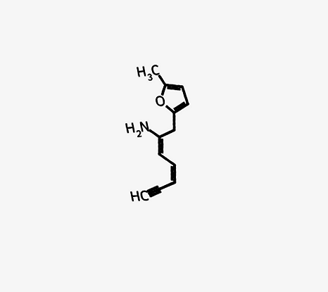 C#C/C=C\C=C(\N)Cc1ccc(C)o1